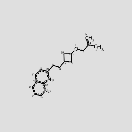 C=C(C)COC1CC(CCc2ccc3cccnc3n2)C1